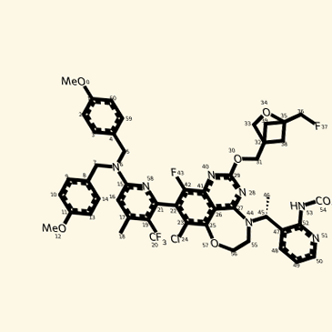 COc1ccc(CN(Cc2ccc(OC)cc2)c2cc(C)c(C(F)(F)F)c(-c3c(Cl)c4c5c(nc(OCC67COC(CF)(C6)C7)nc5c3F)N([C@H](C)c3cccnc3NC(=O)O)CCO4)n2)cc1